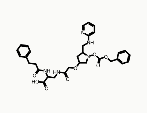 O=C(COC1CC(CNc2ccccn2)N(OC(=O)OCc2ccccc2)C1)NCC(NC(=O)CCc1ccccc1)C(=O)O